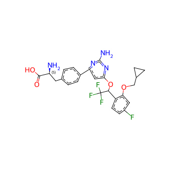 Nc1nc(OC(c2ccc(F)cc2OCC2CC2)C(F)(F)F)cc(-c2ccc(C[C@H](N)C(=O)O)cc2)n1